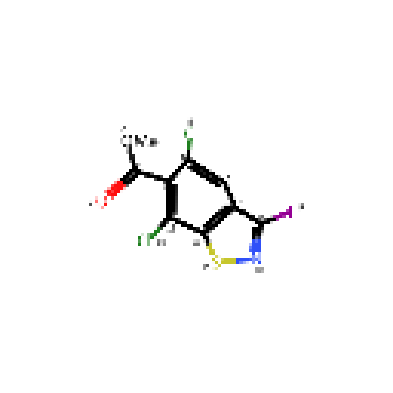 COC(=O)c1c(Cl)cc2c(I)nsc2c1Cl